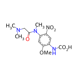 COc1cc(N(C)C(=O)CN(C)C)c([N+](=O)[O-])cc1NC(=O)O